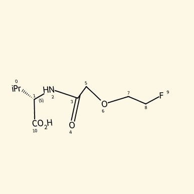 CC(C)[C@H](NC(=O)COCCF)C(=O)O